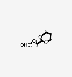 O=[C]OCC1OCCCO1